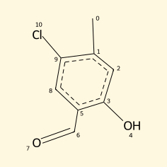 Cc1cc(O)c(C=O)cc1Cl